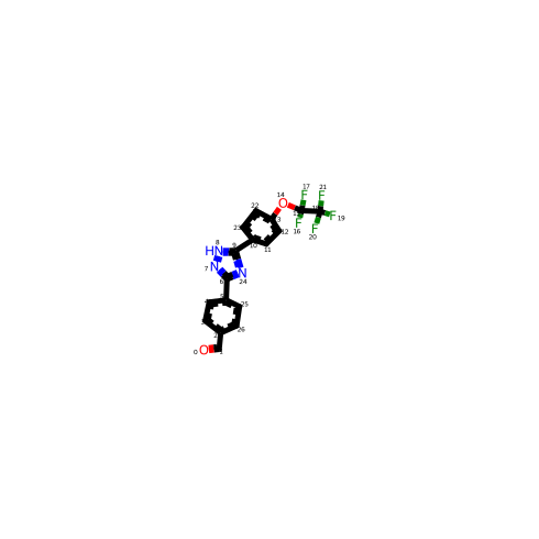 O=Cc1ccc(-c2n[nH]c(-c3ccc(OC(F)(F)C(F)(F)F)cc3)n2)cc1